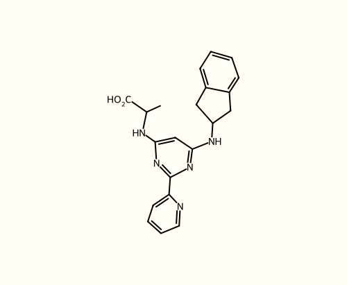 CC(Nc1cc(NC2Cc3ccccc3C2)nc(-c2ccccn2)n1)C(=O)O